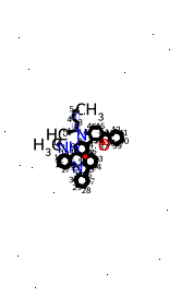 C#C/C(=C\C=C/C)N1c2cc(-c3c(NC)cccc3-n3c4ccccc4c4ccccc43)ccc2C2c3oc4ccccc4c3C=CC21